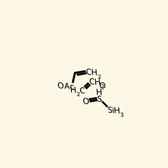 C=C.C=COC(C)=O.O=[SH](=O)[SiH3]